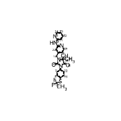 CC(F)(F)Sc1ccc(N2C(=O)N(Cc3ccnc(Nc4ccccn4)c3)C(C)(C)C2=O)cc1